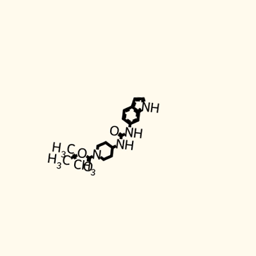 CC(C)(C)OC(=O)N1CCC(NC(=O)Nc2ccc3cc[nH]c3c2)CC1